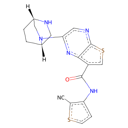 N#Cc1sccc1NC(=O)c1csc2ncc(N3C[C@@H]4CC[C@H]3CN4)nc12